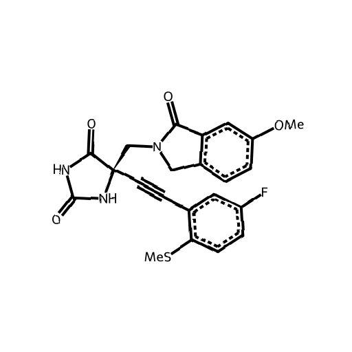 COc1ccc2c(c1)C(=O)N(C[C@@]1(C#Cc3cc(F)ccc3SC)NC(=O)NC1=O)C2